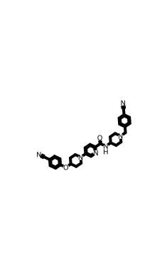 N#Cc1ccc(CN2CCC(NC(=O)c3ccc(N4CCC(Oc5ccc(C#N)cc5)CC4)cn3)CC2)cc1